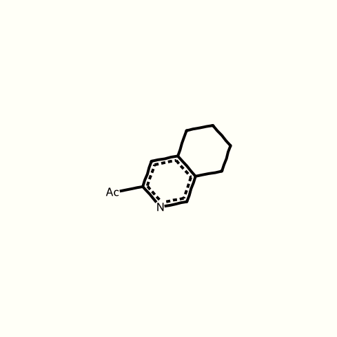 CC(=O)c1cc2c(cn1)CCCC2